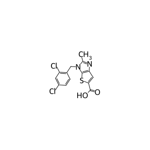 Cc1nc2cc(C(=O)O)sc2n1Cc1ccc(Cl)cc1Cl